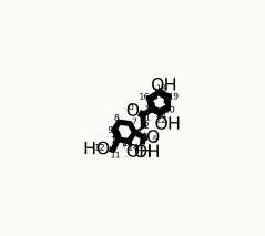 O=C(C[C@]1(C(=O)O)CCC=C(CO)[C@H]1O)c1cc(O)ccc1O